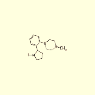 CN1CCN(c2ccccc2C2CCCN2I)CC1